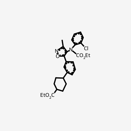 CCOC(=O)C1CCC(c2cccc(-c3onc(C)c3N(C(=O)OCC)c3ccccc3Cl)c2)CC1